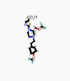 O=C(O)c1cnc(N2CCN(CCc3ccc(OC(F)F)cc3)C[C@H]2COC(F)F)s1